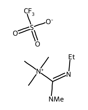 CCN=C(NC)[N+](C)(C)C.O=S(=O)([O-])C(F)(F)F